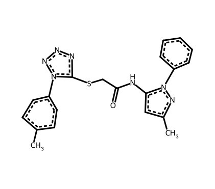 Cc1ccc(-n2nnnc2SCC(=O)Nc2cc(C)nn2-c2ccccc2)cc1